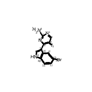 Nc1ncc(I)c(-c2c[nH]c3ccc(Br)cc23)n1